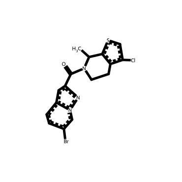 CC1c2scc(Cl)c2CCN1C(=O)c1cc2ccc(Br)cn2n1